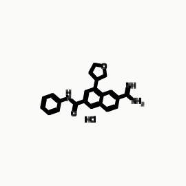 Cl.N=C(N)c1ccc2cc(C(=O)Nc3ccccc3)cc(C3CCOC3)c2c1